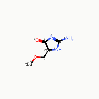 CC(C)(C)OC[C@@H]1NC(N)=NC1=O